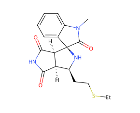 CCSCC[C@@H]1N[C@@]2(C(=O)N(C)c3ccccc32)[C@@H]2C(=O)NC(=O)[C@H]12